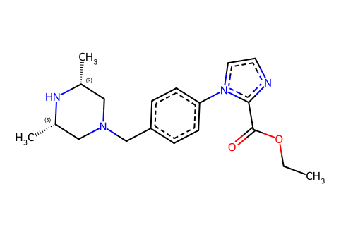 CCOC(=O)c1nccn1-c1ccc(CN2C[C@@H](C)N[C@@H](C)C2)cc1